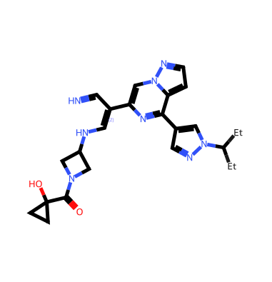 CCC(CC)n1cc(-c2nc(/C(C=N)=C/NC3CN(C(=O)C4(O)CC4)C3)cn3nccc23)cn1